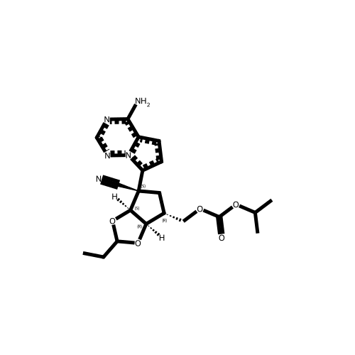 CCC1O[C@@H]2[C@@H](COC(=O)OC(C)C)C[C@@](C#N)(c3ccc4c(N)ncnn34)[C@@H]2O1